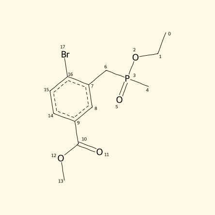 CCOP(C)(=O)Cc1cc(C(=O)OC)ccc1Br